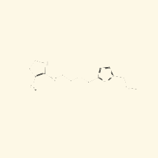 CNCc1ccc(CSCCNC2=C([N+](=O)[O-])CCN2)s1